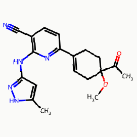 COC1(C(C)=O)CC=C(c2ccc(C#N)c(Nc3cc(C)[nH]n3)n2)CC1